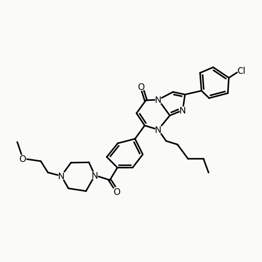 CCCCCn1c(-c2ccc(C(=O)N3CCN(CCOC)CC3)cc2)cc(=O)n2cc(-c3ccc(Cl)cc3)nc12